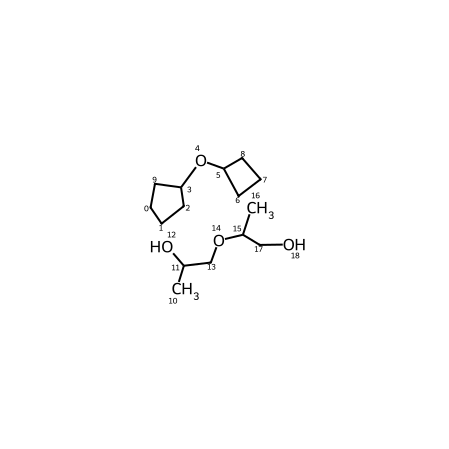 C1CCC(OC2CCC2)C1.CC(O)COC(C)CO